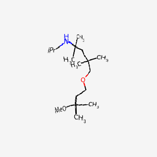 COC(C)(C)CCOCC(C)(C)CC(C)(C)NC(C)C